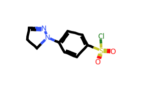 O=S(=O)(Cl)c1ccc(N2CCC=N2)cc1